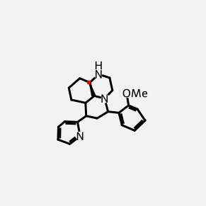 COc1ccccc1C(CC(c1ccccn1)C1CCCCC1)N1CCNCC1